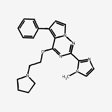 Cn1ccnc1-c1nc(OCCN2CCCC2)c2c(-c3ccccc3)ccn2n1